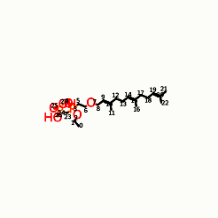 CCOP(=O)(CCOC/C=C(\C)CC/C=C(\C)CCC=C(C)C)CP(=O)(O)O